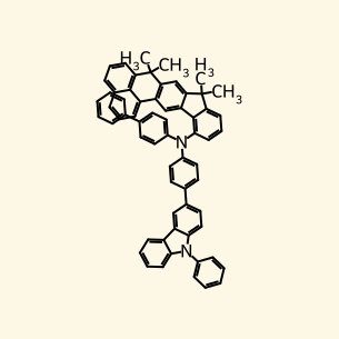 CC1(C)c2cc3c(cc2-c2c(N(c4ccc(-c5ccccc5)cc4)c4ccc(-c5ccc6c(c5)c5ccccc5n6-c5ccccc5)cc4)cccc21)-c1cccc2cccc(c12)C3(C)C